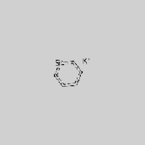 [K+].c1cc[si-]cc1